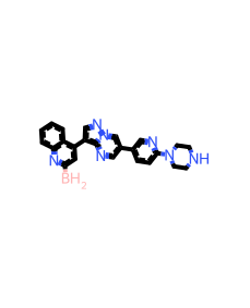 Bc1cc(-c2cnn3cc(-c4ccc(N5CCNCC5)nc4)cnc23)c2ccccc2n1